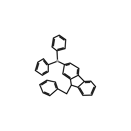 c1ccc(CC2c3ccccc3-c3ccc(N(c4ccccc4)c4ccccc4)cc32)cc1